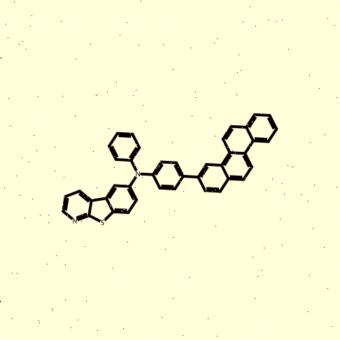 c1ccc(N(c2ccc(-c3ccc4ccc5c6ccccc6ccc5c4c3)cc2)c2ccc3sc4ncccc4c3c2)cc1